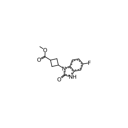 COC(=O)C1CC(n2c(=O)[nH]c3cc(F)ccc32)C1